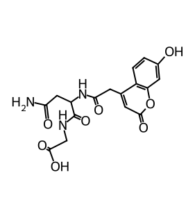 NC(=O)CC(NC(=O)Cc1cc(=O)oc2cc(O)ccc12)C(=O)NCC(=O)O